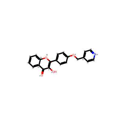 O=c1c(O)c(-c2ccc(OCc3ccncc3)cc2)oc2ccccc12